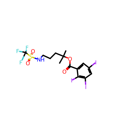 CC(C)(CCCNS(=O)(=O)C(F)(F)F)OC(=O)c1cc(I)cc(I)c1I